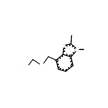 Cc1nc2c(COCO)cccc2n1C